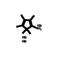 Br.Br.Br.CC1=C(C)C(C)(C)C([SiH3])=C1C